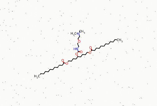 CCCCCCCCCCCC(=O)OCCCCC(CCCCOC(=O)CCCCCCCCCCC)OC(=O)NCCOCCN(C)C